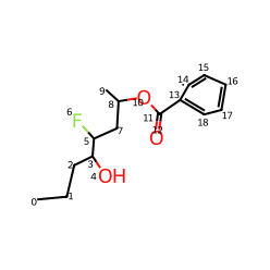 CCCC(O)C(F)CC(C)OC(=O)c1[c]cccc1